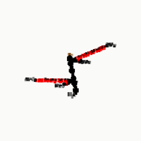 C=Cc1ccc(/C=C/c2ccc3c(c2)C(CCCOCCOC)(CCCOCOCOCOCOCOCOCOCOCOCOCCOC)c2cc(/C=C/c4ccc(/C=C/c5ccc6c(c5)C(CCCOCCOC)(CCCOCOCOCOCOCOCOCOCOCOCOCCOC)c5cc(Br)ccc5-6)cc4)ccc2-3)cc1